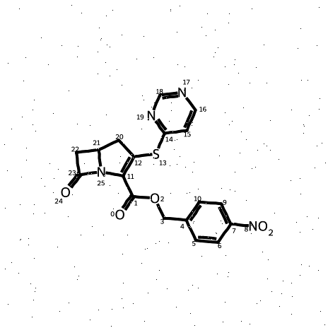 O=C(OCc1ccc([N+](=O)[O-])cc1)C1=C(Sc2ccncn2)CC2CC(=O)N12